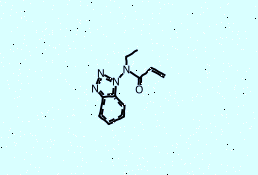 C=CC(=O)N(CC)n1nnc2ccccc21